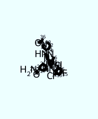 C=N/C(=N\c1c(C)nc(Nc2c(Cl)cc(F)cc2Cl)n1[C@H]1CC[C@@H](C(N)=O)CC1)N[C@@H]1CCCN(C(C)=O)C1